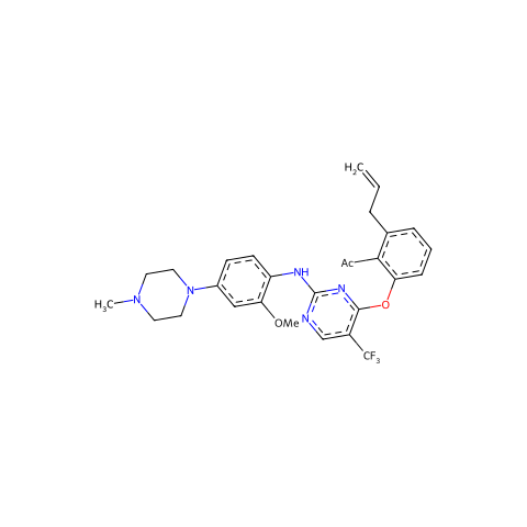 C=CCc1cccc(Oc2nc(Nc3ccc(N4CCN(C)CC4)cc3OC)ncc2C(F)(F)F)c1C(C)=O